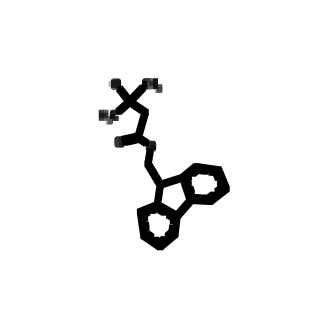 CC(C)([O])CC(=O)OCC1c2ccccc2-c2ccccc21